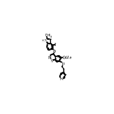 COc1cc2c(Oc3ccc4[nH]c(C)cc4c3F)cnnc2cc1OCCc1ccncc1